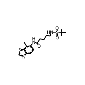 Cc1c(NC(=O)CCCCNS(=O)(=O)C(C)(C)C)ccc2ncsc12